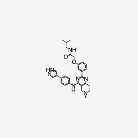 CC(C)CNC(=O)COc1cccc(-c2nc3c(c(Nc4ccc(-c5cn[nH]c5)cc4)n2)CN(C)CC3)c1